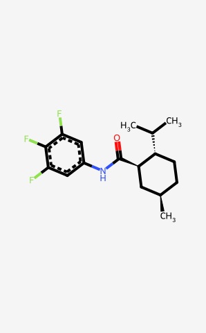 CC(C)[C@@H]1CC[C@@H](C)C[C@H]1C(=O)Nc1cc(F)c(F)c(F)c1